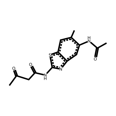 CC(=O)CC(=O)Nc1nc2cc(NC(C)=O)c(C)cc2s1